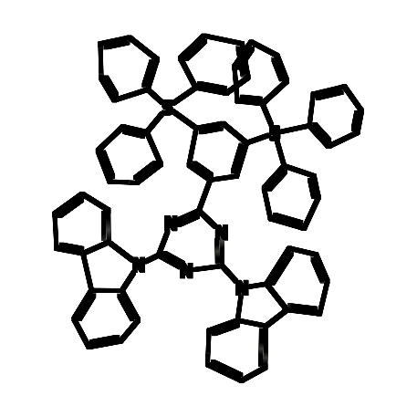 c1ccc(S(c2ccccc2)(c2ccccc2)c2cc(-c3nc(-n4c5ccccc5c5ccccc54)nc(-n4c5ccccc5c5ccccc54)n3)cc(S(c3ccccc3)(c3ccccc3)c3ccccc3)c2)cc1